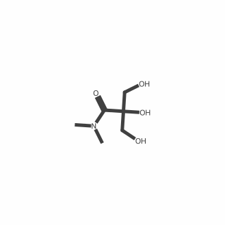 CN(C)C(=O)C(O)(CO)CO